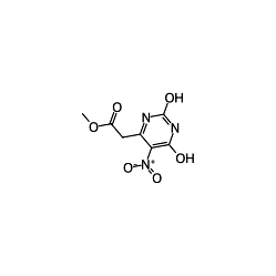 COC(=O)Cc1nc(O)nc(O)c1[N+](=O)[O-]